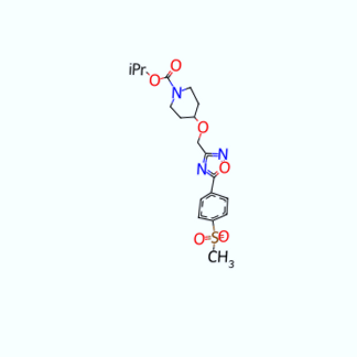 CC(C)OC(=O)N1CCC(OCc2noc(-c3ccc(S(C)(=O)=O)cc3)n2)CC1